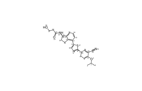 CC(C)OC1=CC[C@@H](c2ncc(-c3cccc4c3CC[C@H]4NC(=O)CCO)s2)C=C1C#N